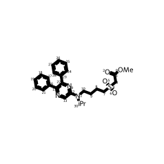 COC(=O)CS(=O)(=O)CCCCN(c1cnc(-c2ccccc2)c(-c2ccccc2)n1)C(C)C